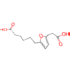 O=C(O)CCCCCc1ccc(CC(=O)O)o1